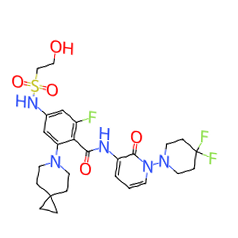 O=C(Nc1cccn(N2CCC(F)(F)CC2)c1=O)c1c(F)cc(NS(=O)(=O)CCO)cc1N1CCC2(CC1)CC2